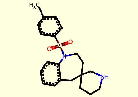 Cc1ccc(S(=O)(=O)N2CCC3(CCCNC3)Cc3ccccc32)cc1